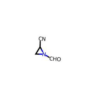 N#CC1CN1C=O